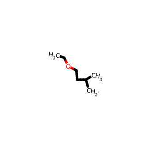 [CH2]C(C)CCOCC